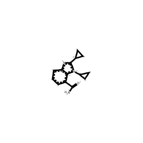 NC(=O)c1cccc2nc(C3CC3)n(C3CC3)c12